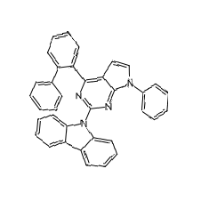 c1ccc(-c2ccccc2-c2nc(-n3c4ccccc4c4ccccc43)nc3c2ccn3-c2ccccc2)cc1